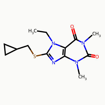 CCn1c(SCC2CC2)nc2c1c(=O)n(C)c(=O)n2C